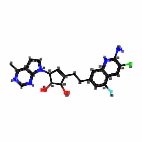 Cc1ncnc2c1ccn2C1C=C(CCc2cc(F)c3cc(Cl)c(N)nc3c2)C(O)C1O